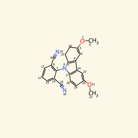 COC1=Cc2c(n(-c3c(C#N)cccc3C#N)c3ccc(OC)cc23)CC1